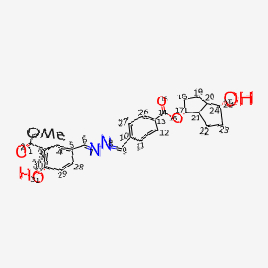 COC(=O)c1cc(/C=N/N=C/c2ccc(C(=O)O[C@@H]3CCC4C3CC[C@H]4O)cc2)ccc1O